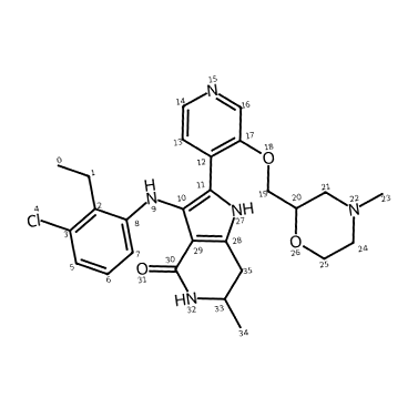 CCc1c(Cl)cccc1Nc1c(-c2ccncc2OCC2CN(C)CCO2)[nH]c2c1C(=O)NC(C)C2